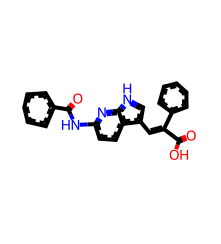 O=C(O)/C(=C/c1c[nH]c2nc(NC(=O)c3ccccc3)ccc12)c1ccccc1